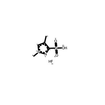 Cc1cn(C)nc1S(=O)(=O)O.F